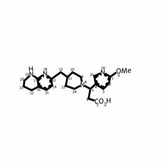 COc1ccc(C(CC(=O)O)N2CCC(Cc3ccc4c(n3)NCCC4)CC2)cn1